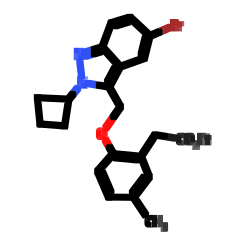 CCOC(=O)Cc1cc(C)ccc1OCc1c2cc(Br)ccc2nn1C1CCC1